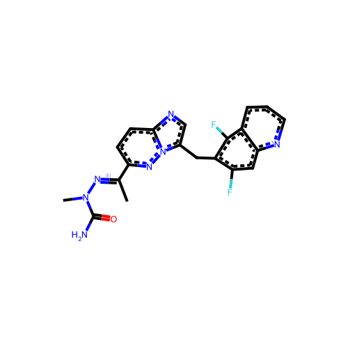 C/C(=N\N(C)C(N)=O)c1ccc2ncc(Cc3c(F)cc4ncccc4c3F)n2n1